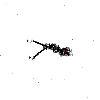 CCCCCCCCCCCCC/C=C/[C@@H](O)[C@H](CO[C@@H]1OC(CO)[C@@H](O[C@@H]2OC(CO)[C@H](O[C@@H]3OC(CO)[C@H](O)[C@H](O[C@@H]4OC(CO)[C@H](O)[C@H](O[C@]5(C(=O)O)CC(O)[C@@H](NC(C)=O)C([C@H](O)[C@H](O)CO)O5)C4NC(C)=O)C3O)[C@H](O)C2O)[C@H](O)C1O)NC(=O)CCCCCCCCCCCCCCC